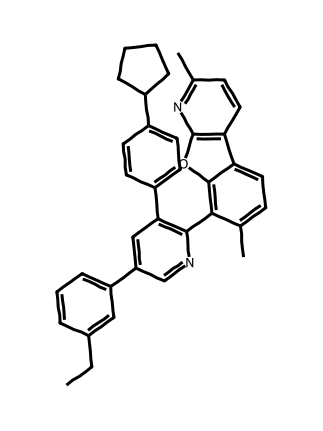 CCc1cccc(-c2cnc(-c3c(C)ccc4c3oc3nc(C)ccc34)c(-c3ccc(C4CCCC4)cc3)c2)c1